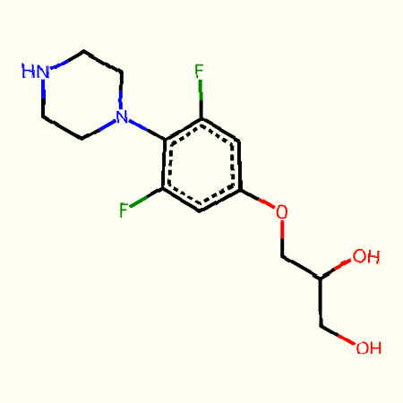 OCC(O)COc1cc(F)c(N2CCNCC2)c(F)c1